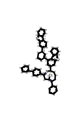 CC/C1=C(/c2ccccc2)CCCC(c2cc(C3=CC(c4ccc5c(c4)sc4ccccc45)CC=C3)c3c(c2)oc2ccccc23)/N=C(/c2ccc(-c3ccccc3)cc2)C1